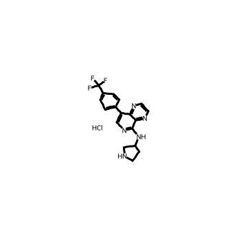 Cl.FC(F)(F)c1ccc(-c2cnc(NC3CCNC3)c3nccnc23)cc1